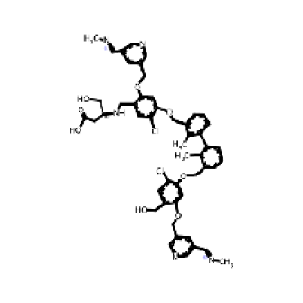 C/N=C/c1cncc(COc2cc(OCc3cccc(-c4cccc(COc5cc(OCc6cncc(/C=N/C)c6)c(CN[C@H](CO)CC(=O)O)cc5Cl)c4C)c3C)c(Cl)cc2CO)c1